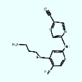 C#Cc1cnc(Nc2cc(NCCCN)c(N)cn2)cn1